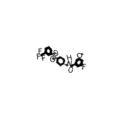 COc1cc(F)cc(C(=O)NC[C@H]2CC[C@H](S(=O)(=O)c3cccc(C(F)(F)F)c3)CC2)c1